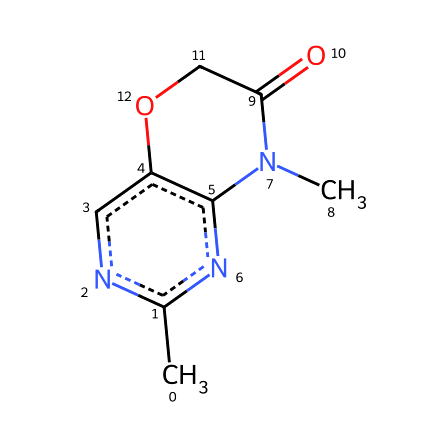 Cc1ncc2c(n1)N(C)C(=O)CO2